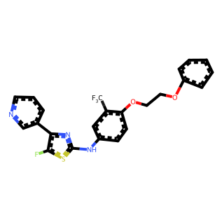 Fc1sc(Nc2ccc(OCCOc3ccccc3)c(C(F)(F)F)c2)nc1-c1cccnc1